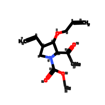 C=CCOC1C(C=C)CN(C(=O)OC(C)(C)C)C1C(=O)OC